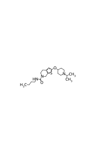 CCCCNC(=O)N1CCc2cc(OC3CCN(C(C)C)CC3)sc2C1